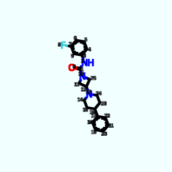 O=C(Nc1cccc(F)c1)N1CC(N2CCC(c3ccccc3)CC2)C1